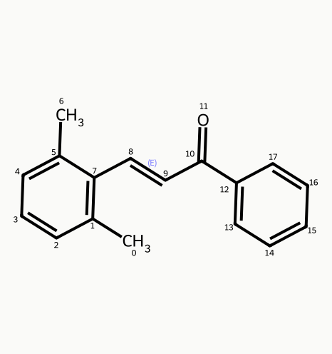 Cc1cccc(C)c1/C=C/C(=O)c1ccccc1